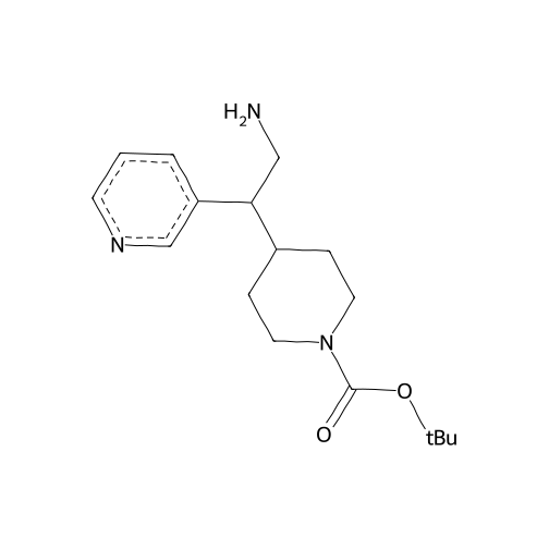 CC(C)(C)OC(=O)N1CCC(C(CN)c2cccnc2)CC1